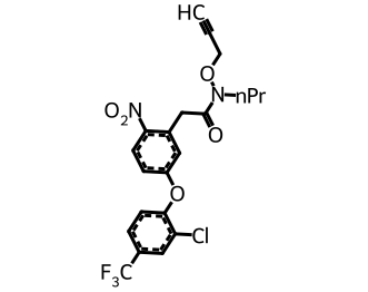 C#CCON(CCC)C(=O)Cc1cc(Oc2ccc(C(F)(F)F)cc2Cl)ccc1[N+](=O)[O-]